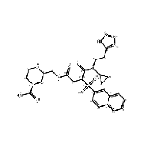 N=C(N)N1CCOC(CNC(=O)C[C@@H](C(=O)N(CCc2nnn[nH]2)C2CC2)S(=O)(=O)c2ccc3ccccc3c2)C1